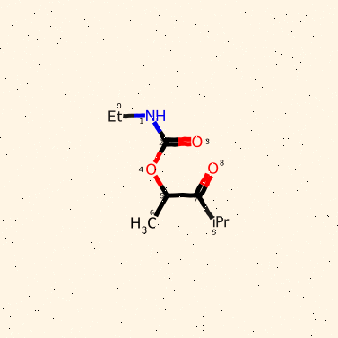 CCNC(=O)OC(C)C(=O)C(C)C